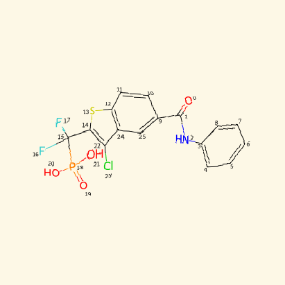 O=C(Nc1ccccc1)c1ccc2sc(C(F)(F)P(=O)(O)O)c(Cl)c2c1